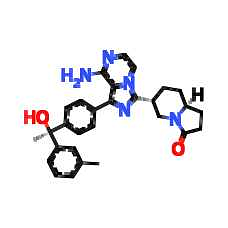 Cc1cccc([C@@](C)(O)c2ccc(-c3nc([C@@H]4CC[C@H]5CCC(=O)N5C4)n4ccnc(N)c34)cc2)c1